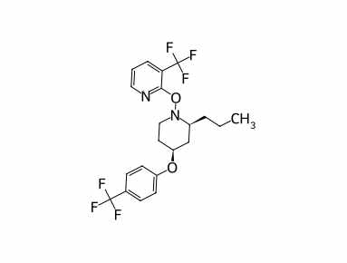 CCC[C@H]1C[C@@H](Oc2ccc(C(F)(F)F)cc2)CCN1Oc1ncccc1C(F)(F)F